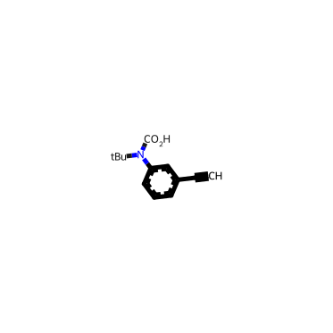 C#Cc1cccc(N(C(=O)O)C(C)(C)C)c1